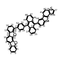 c1ccc2c(c1)oc1c2ccc2c3cccc(-c4ccc(-c5c6ccccc6c(-c6ccc7sc8c9ccsc9ccc8c7c6)c6ccccc56)cc4)c3oc21